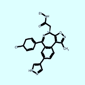 CCNC(=O)C[C@@H]1N=C(C2=CCC(Cl)C=C2)c2cc(-c3cn[nH]c3)ccc2-c2c(C)noc21